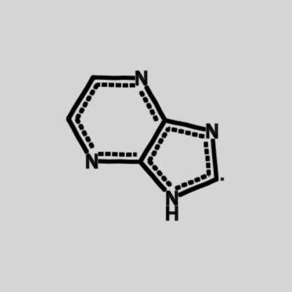 [c]1nc2nccnc2[nH]1